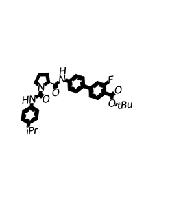 CC(C)c1ccc(NC(=O)N2CCC[C@@H]2C(=O)Nc2ccc(-c3ccc(C(=O)OC(C)(C)C)c(F)c3)cc2)cc1